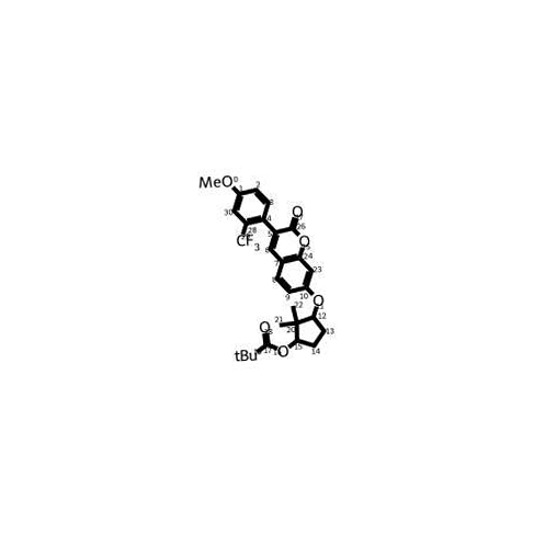 COc1ccc(-c2cc3ccc(OC4CCC(OC(=O)C(C)(C)C)C4(C)C)cc3oc2=O)c(C(F)(F)F)c1